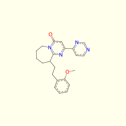 COc1ccccc1CCC1CCCCn2c1nc(-c1ccncn1)cc2=O